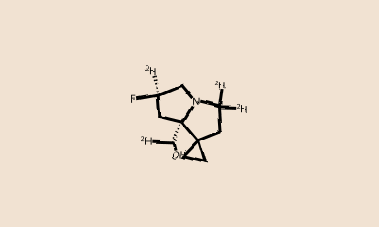 [2H]C(O)[C@]12C[C@@]([2H])(F)CN1C([2H])([2H])CC21CC1